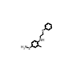 Cc1cc(SN)ccc1NCCSc1ccccc1